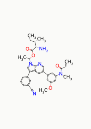 C=CC(=O)N(C)c1cc(OC)cc(-c2cnc3c(c2)c(-c2cccc(C#N)c2)cn3C(C)OC(=O)[C@@H](N)[C@@H](C)CC)c1